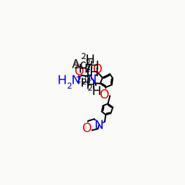 [2H]C1([2H])c2c(OCc3ccc(CN4CCOCC4)cc3)cccc2C(=O)N1[C@]([2H])(C(N)=O)C([2H])([2H])C([2H])([2H])C(C)=O